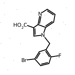 O=C(O)c1cn(Cc2cc(Br)ccc2F)c2cccnc12